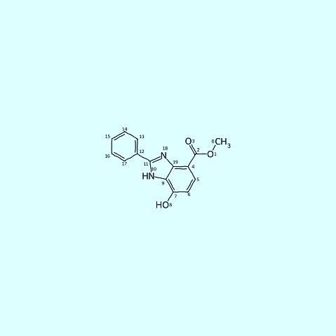 COC(=O)c1ccc(O)c2[nH]c(-c3ccccc3)nc12